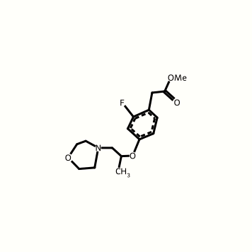 COC(=O)Cc1ccc(OC(C)CN2CCOCC2)cc1F